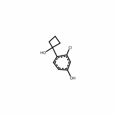 Oc1ccc(C2(O)CCC2)c(Cl)c1